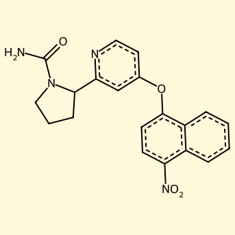 NC(=O)N1CCCC1c1cc(Oc2ccc([N+](=O)[O-])c3ccccc23)ccn1